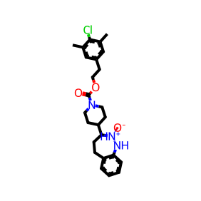 Cc1cc(CCOC(=O)N2CCC(C3CCc4ccccc4N[N@@H+]3[O-])CC2)cc(C)c1Cl